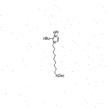 CCCCCCCCCCCCCCCCCCCn1cc[n+](CCC)c1CCCC